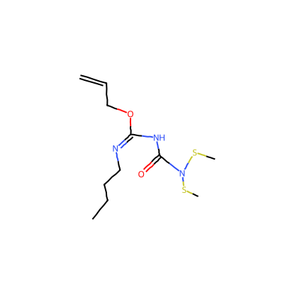 C=CCOC(=NCCCC)NC(=O)N(SC)SC